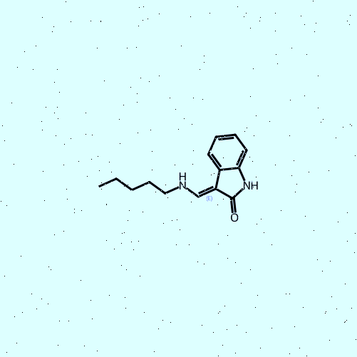 CCCCCN/C=C1/C(=O)Nc2ccccc21